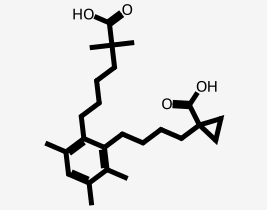 Cc1cc(C)c(CCCCC(C)(C)C(=O)O)c(CCCCC2(C(=O)O)CC2)c1C